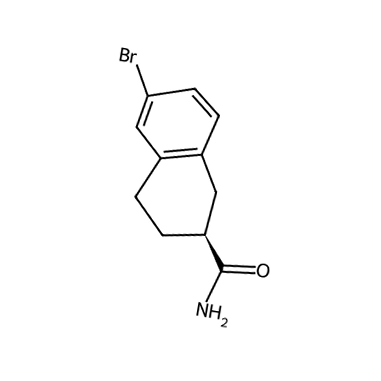 NC(=O)[C@H]1CCc2cc(Br)ccc2C1